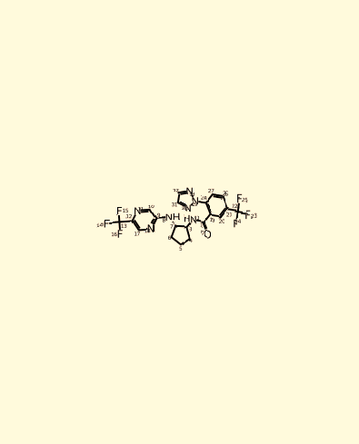 O=C(NC1CCC[C@@H]1Nc1cnc(C(F)(F)F)cn1)c1cc(C(F)(F)F)ccc1-n1nccn1